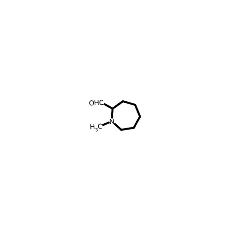 CN1CCCCCC1C=O